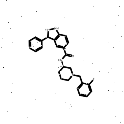 O=C(N[C@@H]1CCCN(Cc2ccccc2F)C1)c1ccc2c(c1)C(C1=CC=IC=C1)NN2